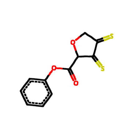 O=C(Oc1ccccc1)C1OCC(=S)C1=S